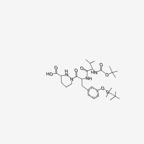 CC(C)C(NC(=O)OC(C)(C)C)C(=O)NC(Cc1cccc(O[Si](C)(C)C(C)(C)C)c1)C(=O)N1CCCC(C(=O)O)N1